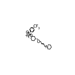 CN(C[C@H]1CC[C@H](COC/C=C/CN2CCCCC2)CC1)S(=O)(=O)c1ccc(C(F)(F)F)cc1